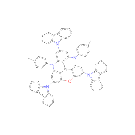 Cc1ccc(N2c3cc(-n4c5ccccc5c5ccccc54)cc4c3[Si]3(C)c5c(cc(-n6c7ccccc7c7ccccc76)cc5N(c5ccc(C)cc5)c5cc(-n6c7ccccc7c7ccccc76)cc2c53)O4)cc1